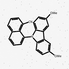 COc1ccc2c(c1)c1cc(OC)ccc1n2-c1cccc2cccc(C#N)c12